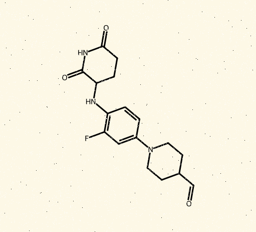 O=CC1CCN(c2ccc(NC3CCC(=O)NC3=O)c(F)c2)CC1